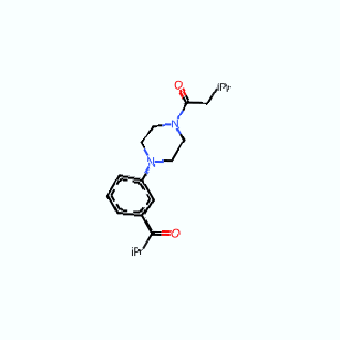 CC(C)CC(=O)N1CCN(c2cccc(C(=O)C(C)C)c2)CC1